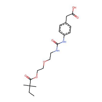 CCC(C)(C)C(=O)OCCOCCNC(=O)Nc1ccc(CC(=O)O)cc1